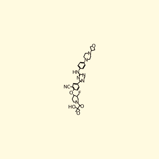 N#Cc1cc(-c2ncnc(Nc3ccc(N4CCN(C5COC5)CC4)cc3)n2)ccc1OC1CCN(C(=O)C2(O)COC2)CC1F